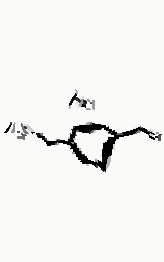 Cl.NCc1ccc(Br)cc1